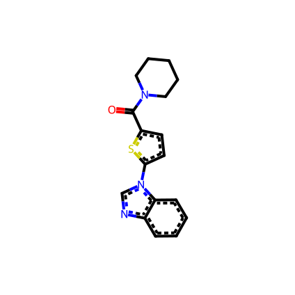 O=C(c1ccc(-n2cnc3ccccc32)s1)N1CCCCC1